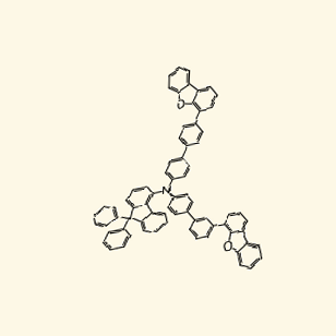 c1ccc(C2(c3ccccc3)c3ccccc3-c3c(N(c4ccc(-c5ccc(-c6cccc7c6oc6ccccc67)cc5)cc4)c4ccc(-c5cccc(-c6cccc7c6oc6ccccc67)c5)cc4)cccc32)cc1